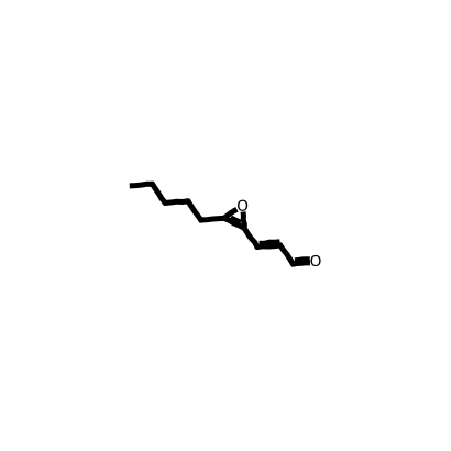 CCCCCC1=C(/C=C/C=O)O1